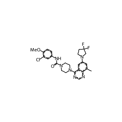 COc1ccc(NC(=O)N2CCN(c3ncnc4c(C)cc(N5CCC(F)(F)C5)cc34)CC2)cc1Cl